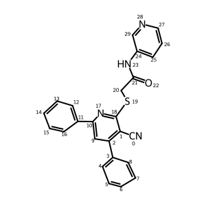 N#Cc1c(-c2ccccc2)cc(-c2ccccc2)nc1SCC(=O)Nc1cccnc1